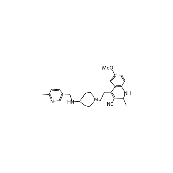 COc1ccc2c(c1)C(CCN1CCC(NCc3ccc(C)nc3)CC1)=C(C#N)C(C)N2